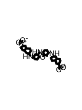 O=[N+]([O-])c1ccc2cc(Nc3ccc4c(c3)Nc3ccc(Nc5ccc6cc([N+](=O)[O-])ccc6c5)cc3O4)ccc2c1